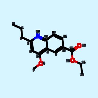 CCCc1cc(OC)c2cc(C(=O)OCC)ccc2n1